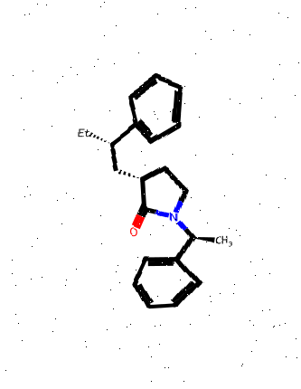 CC[C@@H](C[C@@H]1CCN([C@@H](C)c2ccccc2)C1=O)c1ccccc1